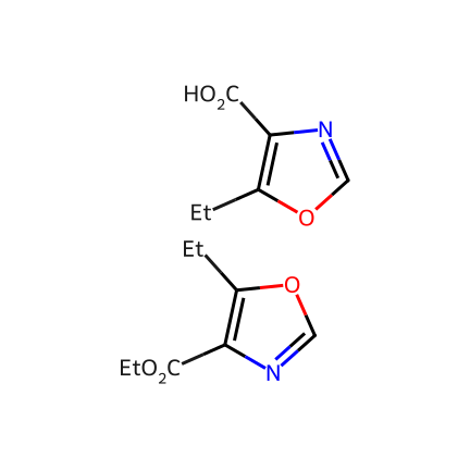 CCOC(=O)c1ncoc1CC.CCc1ocnc1C(=O)O